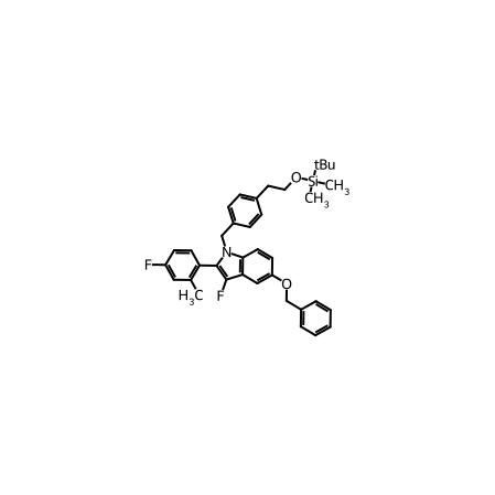 Cc1cc(F)ccc1-c1c(F)c2cc(OCc3ccccc3)ccc2n1Cc1ccc(CCO[Si](C)(C)C(C)(C)C)cc1